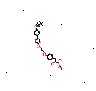 CCOC(=O)[C@H](Cc1ccc(OCCCOc2ccc(-c3ccc(O[Si](C)(C)C(C)(C)C)cc3)cc2)cc1)OC